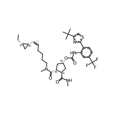 CC[C@H]1C[C@H]1/C=C\CCCCN(C)C(=O)[C@@H]1C[C@H](OC(=O)Nc2cc(C(F)(F)F)ccc2-c2nc(C(C)(C)C)cs2)C[C@H]1C(=O)NC